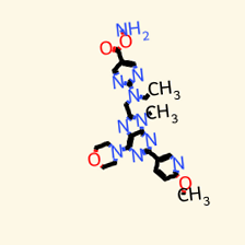 CCN(Cc1nc2c(N3CCOCC3)nc(-c3ccc(OC)nc3)nc2n1C)c1ncc(C(=O)ON)cn1